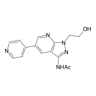 CC(=O)Nc1nn(CCO)c2ncc(-c3ccncc3)cc12